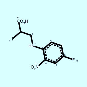 O=C(O)C(I)CNc1ccc(F)cc1[N+](=O)[O-]